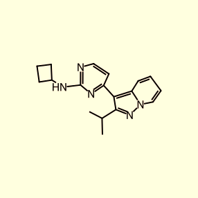 CC(C)c1nn2ccccc2c1-c1ccnc(NC2CCC2)n1